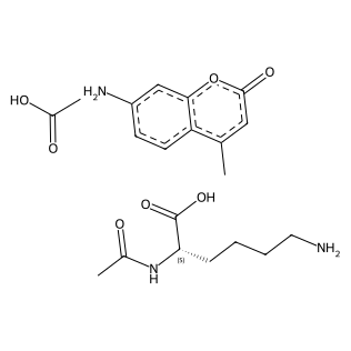 CC(=O)N[C@@H](CCCCN)C(=O)O.CC(=O)O.Cc1cc(=O)oc2cc(N)ccc12